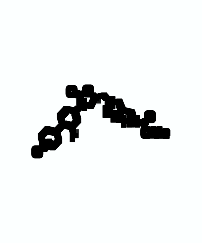 COC(=O)NCc1cn(C[C@H]2CN(c3ccc(C4=CC[S+]([O-])CC4)c(F)c3)C(=O)O2)nn1